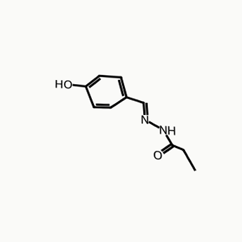 CCC(=O)N/N=C/c1ccc(O)cc1